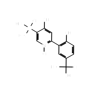 Cc1ccc(C(C)(C)C)cc1-c1cc(C)c([Si](C)(C)C)c[n+]1C